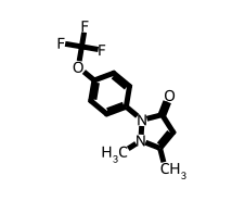 Cc1cc(=O)n(-c2ccc(OC(F)(F)F)cc2)n1C